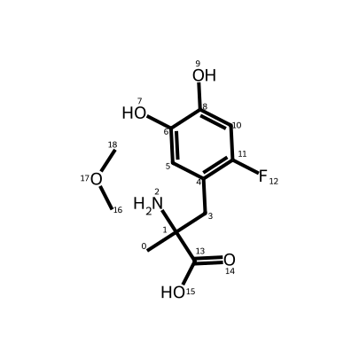 CC(N)(Cc1cc(O)c(O)cc1F)C(=O)O.COC